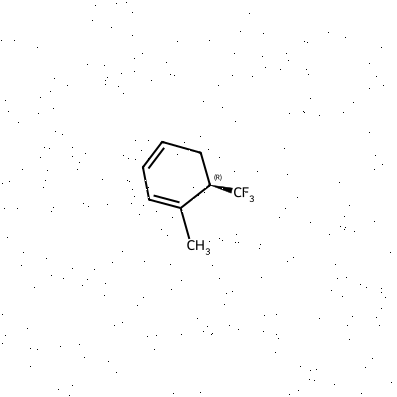 CC1=CC=CC[C@H]1C(F)(F)F